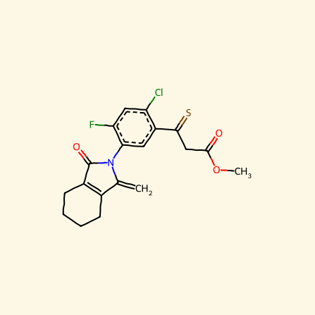 C=C1C2=C(CCCC2)C(=O)N1c1cc(C(=S)CC(=O)OC)c(Cl)cc1F